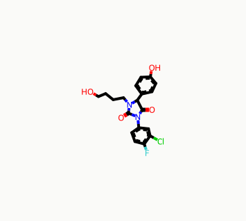 O=C1C(c2ccc(O)cc2)N(CCCCO)C(=O)N1c1ccc(F)c(Cl)c1